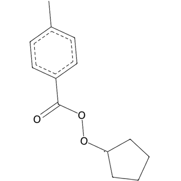 Cc1ccc(C(=O)OO[C]2CCCC2)cc1